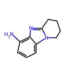 Nc1cccc2c1nc1n2CCCC1